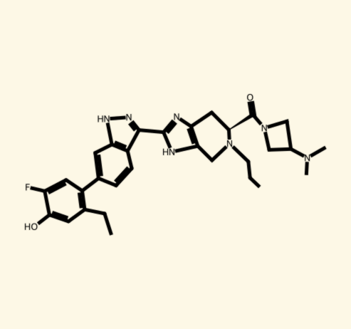 CCCN1Cc2[nH]c(-c3n[nH]c4cc(-c5cc(F)c(O)cc5CC)ccc34)nc2C[C@H]1C(=O)N1CC(N(C)C)C1